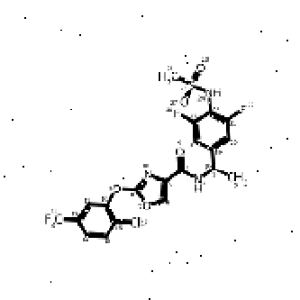 C[C@@H](NC(=O)c1coc(Oc2cc(C(F)(F)F)ccc2Cl)n1)c1cc(F)c(NS(C)(=O)=O)c(F)c1